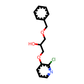 OC(COCc1ccccc1)COc1cccnc1Cl